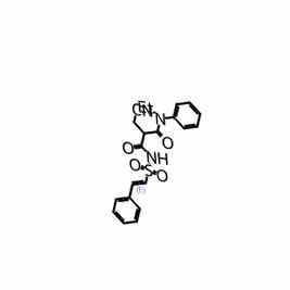 CCN(C(=O)C(CC#N)C(=O)NS(=O)(=O)/C=C/c1ccccc1)c1ccccc1